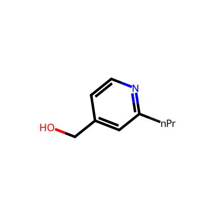 CCCc1cc(CO)ccn1